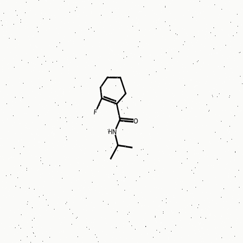 CC(C)NC(=O)C1=C(F)CCCC1